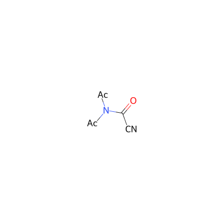 CC(=O)N(C(C)=O)C(=O)C#N